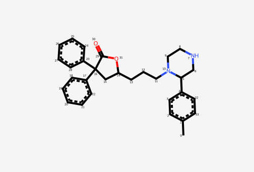 Cc1ccc(C2CNCCN2CCCC2CC(c3ccccc3)(c3ccccc3)C(=O)O2)cc1